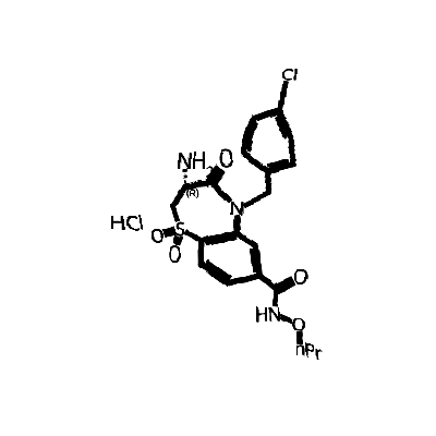 CCCONC(=O)c1ccc2c(c1)N(Cc1ccc(Cl)cc1)C(=O)[C@@H](N)CS2(=O)=O.Cl